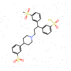 CS(=O)(=O)c1cccc(C(CCN2CCC(c3cccc([SH](=O)=O)c3)CC2)c2cccc(S(=O)(=O)S)c2)c1